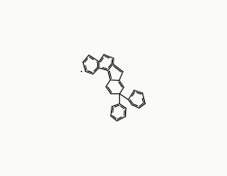 [c]1ccc2ccc3c(c2c1)=C1C=CC(c2ccccc2)(c2ccccc2)C=C1C=3